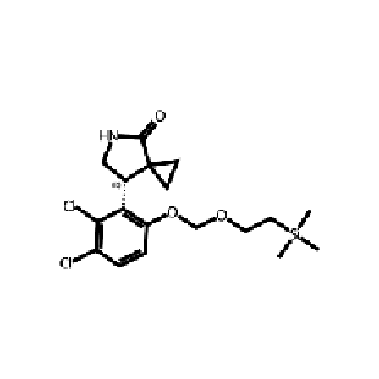 C[Si](C)(C)CCOCOc1ccc(Cl)c(Cl)c1[C@@H]1CNC(=O)C12CC2